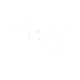 COc1c(I)cc(Cl)cc1C(=O)N[C@@H]1CN2CCC1CC2